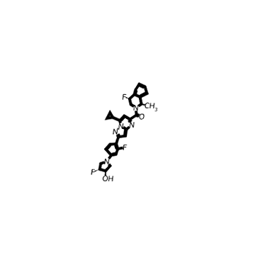 C[C@@H]1c2ccccc2[C@@H](F)CN1C(=O)c1cc(C2CC2)n2nc(-c3ccc(N4C[C@@H](O)[C@H](F)C4)cc3F)cc2n1